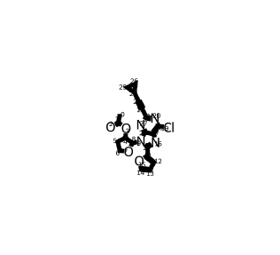 CC(=O)OC1CCOC1n1c(-c2ccco2)nc2c(Cl)nc(C#CC3CC3)nc21